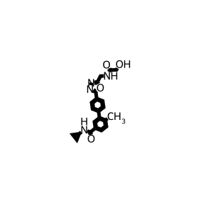 Cc1ccc(C(=O)NC2CC2)cc1-c1ccc(-c2nnc(CNC(=O)CO)o2)cc1